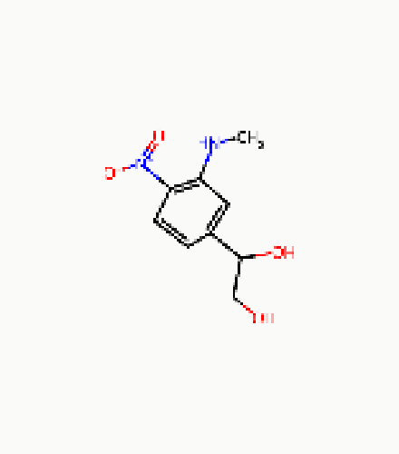 CNc1cc(C(O)CO)ccc1[N+](=O)[O-]